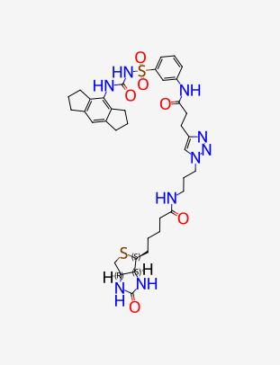 O=C(CCCC[C@@H]1SC[C@@H]2NC(=O)N[C@@H]21)NCCCn1cc(CCC(=O)Nc2cccc(S(=O)(=O)NC(=O)Nc3c4c(cc5c3CCC5)CCC4)c2)nn1